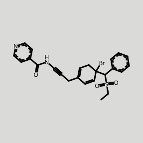 CCS(=O)(=O)C(c1ccccc1)C1(Br)C=CC(CC#CNC(=O)c2ccncc2)=CC1